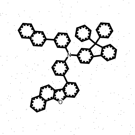 c1ccc(C2(c3ccccc3)c3ccccc3-c3ccc(N(c4cccc(-c5ccc6ccccc6c5)c4)c4cccc(-c5cccc6oc7c8ccccc8ccc7c56)c4)cc32)cc1